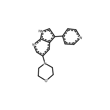 c1cc(-c2c[nH]c3ncc(N4CCOCC4)cc23)ccn1